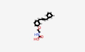 O=C(O)NCCOc1cccc(CC#CCc2ccccc2)c1